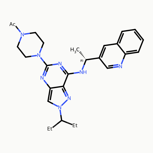 CCC(CC)n1cc2nc(N3CCN(C(C)=O)CC3)nc(N[C@H](C)c3cnc4ccccc4c3)c2n1